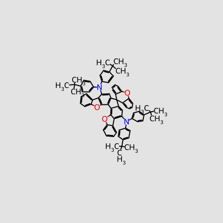 CC(C)(C)c1ccc(N(c2ccc(C(C)(C)C)cc2)c2cc3c(c4oc5ccccc5c24)-c2c(cc(N(c4ccc(C(C)(C)C)cc4)c4ccc(C(C)(C)C)cc4)c4c2oc2ccccc24)C32c3ccccc3Oc3ccccc32)cc1